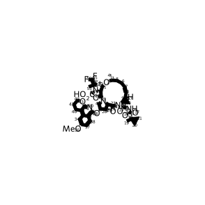 CC[C@@H]1O[C@H](C)CC/C=C\[C@@H]2C[C@@]2(C(=O)NS(=O)(=O)C2(C)CC2)NC(=O)[C@@H]2C[C@@H](Oc3nc4c(c5cc(OC)ccc35)CCCO4)CN2C(=O)[C@H]1N(C(=O)O)C(C)(C)C(F)F